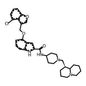 O=C(NC1CCN(C[C@@H]2CCCN3CCCCC23)CC1)c1cc2c(OCc3coc4cccc(Cl)c34)cccc2[nH]1